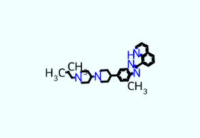 Cc1cc(C2CCN(C3CCN(CC(C)C)CC3)CC2)cc2[nH]c(-c3cccc4cccnc34)nc12